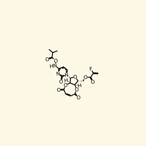 C=C(F)C(=O)OC[C@H]1O[C@@H](n2ccc(NOC(=O)C(C)C)nc2=O)[C@@H]2OC(=O)/C=C\C(=O)O[C@@H]21